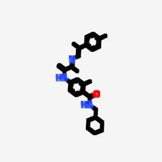 C=C(Nc1ccc(C(=O)NCC2CCCCC2)c(C)c1)/C(C)=N/C=C(\C)c1ccc(C)cc1